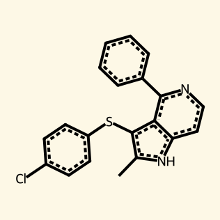 Cc1[nH]c2ccnc(-c3ccccc3)c2c1Sc1ccc(Cl)cc1